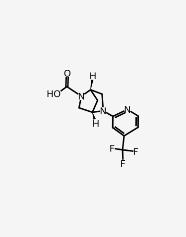 O=C(O)N1C[C@@H]2C[C@H]1CN2c1cc(C(F)(F)F)ccn1